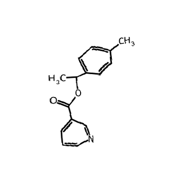 Cc1ccc(C(C)OC(=O)c2cccnc2)cc1